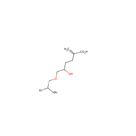 C=C(CCC(O)COCC(CC)CCCC)C(=O)O